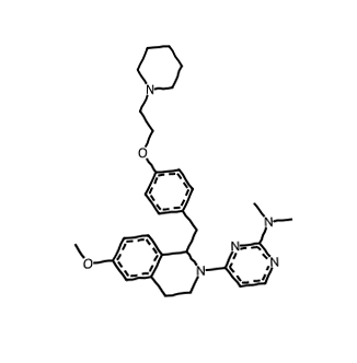 COc1ccc2c(c1)CCN(c1ccnc(N(C)C)n1)C2Cc1ccc(OCCN2CCCCC2)cc1